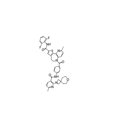 Cc1ccc2c(n1)-c1sc(C(=O)Nc3c(F)cccc3F)cc1CCN2C(=O)c1ccc(NC(=O)c2ccc(C)nc2N2CC3(CCOCC3)C2)cc1